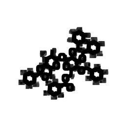 CC1[C@@H](O[C@H]2OC(COC(=O)c3ccccc3)[C@@H](OCc3ccccc3)[C@H](OCc3ccccc3)C2OCc2ccccc2)OC(COC(=O)c2ccccc2)[C@@H](C)[C@@H]1C